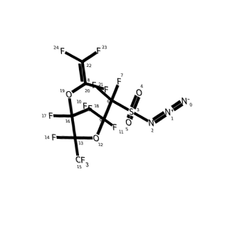 [N-]=[N+]=NS(=O)(=O)C(F)(F)C(F)(F)OC(F)(C(F)(F)F)C(F)(F)OC(F)=C(F)F